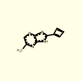 Cc1cnc2nc(C3=CC=C3)[nH]c2n1